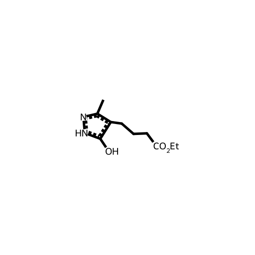 CCOC(=O)CCCc1c(C)n[nH]c1O